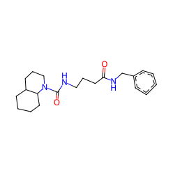 O=C(CCCNC(=O)N1CCCC2CCCCC21)NCc1ccccc1